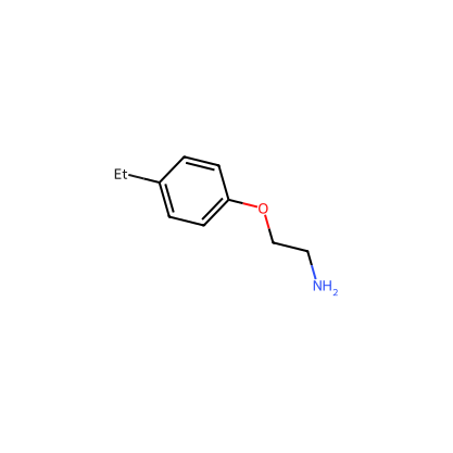 CCc1ccc(OCCN)cc1